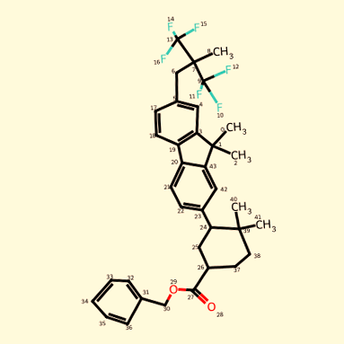 CC1(C)c2cc(CC(C)(C(F)(F)F)C(F)(F)F)ccc2-c2ccc(C3CC(C(=O)OCc4ccccc4)CCC3(C)C)cc21